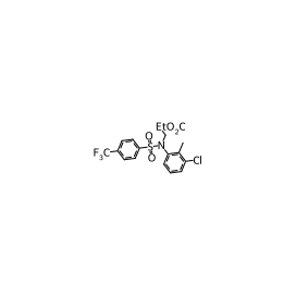 CCOC(=O)CN(c1cccc(Cl)c1C)S(=O)(=O)c1ccc(C(F)(F)F)cc1